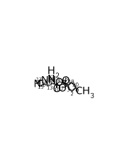 Cc1ccc(S(=O)(=O)OC(=O)[C@@H](N)Cc2cnc[nH]2)cc1